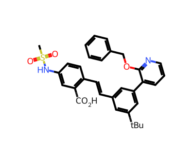 CC(C)(C)c1cc(C=Cc2ccc(NS(C)(=O)=O)cc2C(=O)O)cc(-c2cccnc2OCc2ccccc2)c1